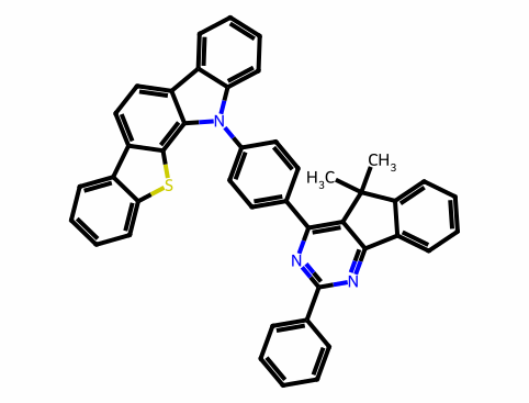 CC1(C)c2ccccc2-c2nc(-c3ccccc3)nc(-c3ccc(-n4c5ccccc5c5ccc6c7ccccc7sc6c54)cc3)c21